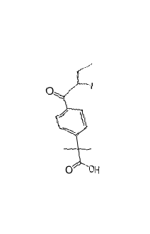 CCC(I)C(=O)c1ccc(C(C)(C)C(=O)O)cc1